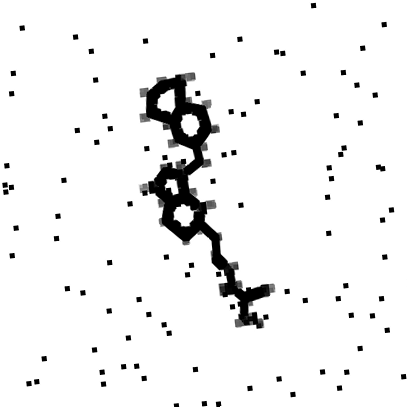 NC(=S)NN=CCc1ccc2ncn(Cc3ccc4ncccc4c3)c2n1